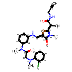 C#CCNC(=O)C(C#N)=c1sc(=CNc2cccc(N(C)C(=O)CN(C)c3ccccc3F)c2)c(=O)n1CC